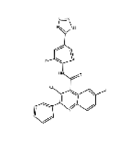 O=C(Nc1ccc(-c2nnn[nH]2)cc1F)c1c(Cl)c(-c2ccccc2)nc2ccc(I)cc12